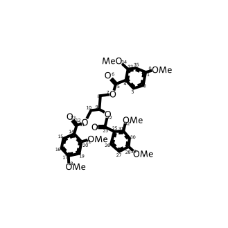 COc1ccc(C(=O)OCC(COC(=O)c2ccc(OC)cc2OC)OC(=O)c2ccc(OC)cc2OC)c(OC)c1